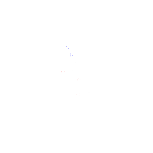 CC(OC(=O)C=[N+]=[N-])Oc1ccccc1